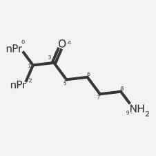 CCCC(CCC)C(=O)CCCCN